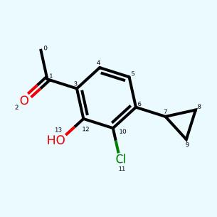 CC(=O)c1ccc(C2CC2)c(Cl)c1O